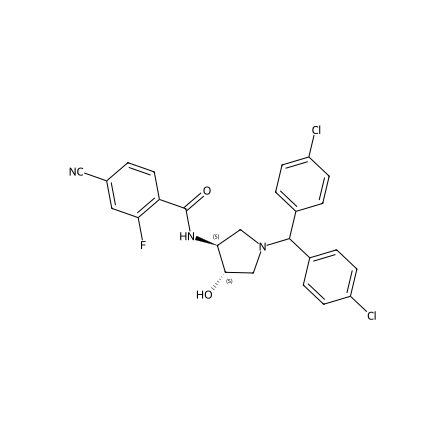 N#Cc1ccc(C(=O)N[C@H]2CN(C(c3ccc(Cl)cc3)c3ccc(Cl)cc3)C[C@@H]2O)c(F)c1